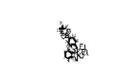 CCOC(=O)c1cccc2nc(OCC)n(Cc3ccc(B4OCC(C)(C)CO4)cc3)c12